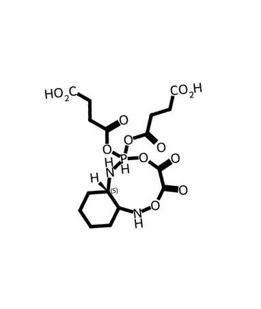 O=C(O)CCC(=O)O[PH]1(OC(=O)CCC(=O)O)N[C@H]2CCCCC2NOC(=O)C(=O)O1